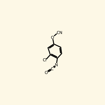 N#COc1ccc(N=C=O)c(Cl)c1